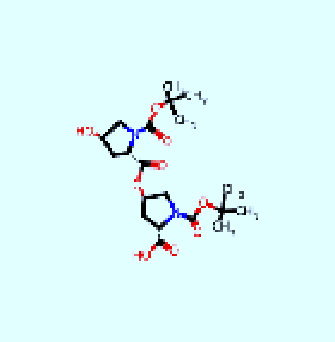 CC(C)(C)OC(=O)N1C[C@H](OC(=O)[C@@H]2C[C@@H](O)CN2C(=O)OC(C)(C)C)C[C@H]1C(=O)O